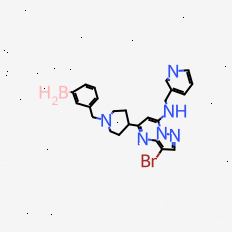 Bc1cccc(CN2CCC(c3cc(NCc4cccnc4)n4ncc(Br)c4n3)CC2)c1